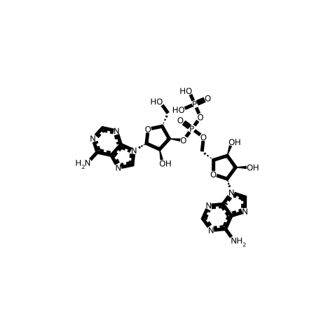 Nc1ncnc2c1ncn2[C@@H]1O[C@H](COP(=O)(O[C@H]2[C@@H](O)[C@H](n3cnc4c(N)ncnc43)O[C@@H]2CO)OP(=O)(O)O)[C@@H](O)[C@H]1O